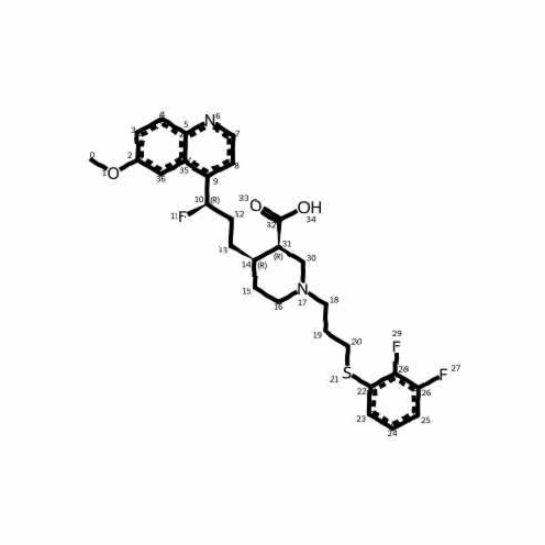 COc1ccc2nccc([C@H](F)CC[C@@H]3CCN(CCCSc4cccc(F)c4F)C[C@@H]3C(=O)O)c2c1